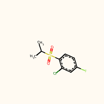 CC(C)S(=O)(=O)c1ccc(F)cc1Cl